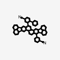 N#Cc1cccc(-c2c3c(cc4c2ccc2c5cc6c(cc5c(-c5cc(C#N)ccc5-c5ccccc5)cc42)-c2cccc4cccc-6c24)-c2cccc4cccc-3c24)c1